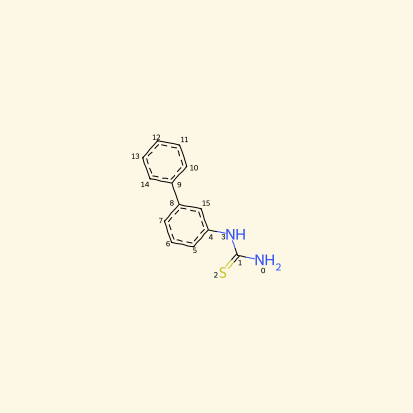 NC(=S)Nc1cccc(-c2ccccc2)c1